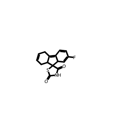 O=C1NC(=O)C2(S1)C1C=C(F)C=CC1=C1CC=CCC12